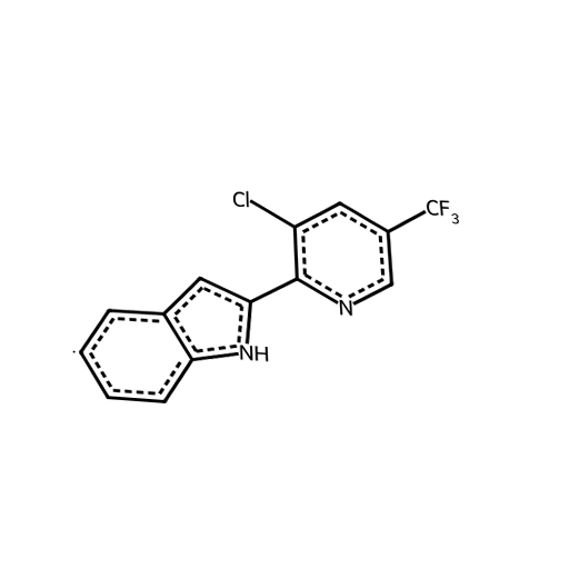 FC(F)(F)c1cnc(-c2cc3c[c]ccc3[nH]2)c(Cl)c1